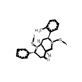 Cc1ccccc1[C@@H]1C[C@H]2[C@@H](CN1SI)C(=O)C[C@@H](c1ccccc1)N2SI